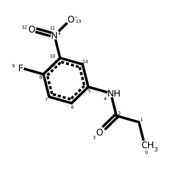 CCC(=O)Nc1ccc(F)c([N+](=O)[O-])c1